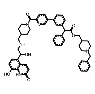 O=C(OCC1CCN(Cc2ccccc2)CC1)C(c1ccccc1)c1cccc(-c2ccc(C(=O)N3CCC(CNCC(O)c4ccc(O)c5[nH]c(=O)ccc45)CC3)nc2)c1